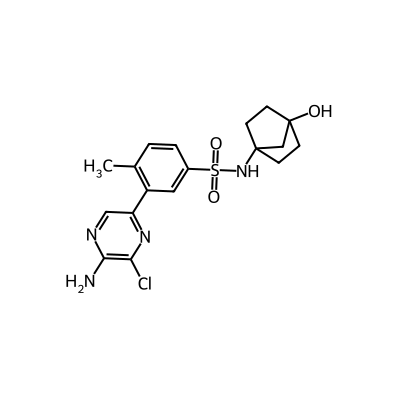 Cc1ccc(S(=O)(=O)NC23CCC(O)(CC2)C3)cc1-c1cnc(N)c(Cl)n1